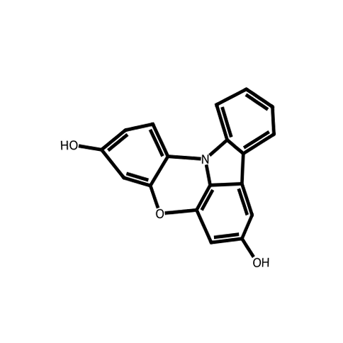 Oc1ccc2c(c1)Oc1cc(O)cc3c4ccccc4n-2c13